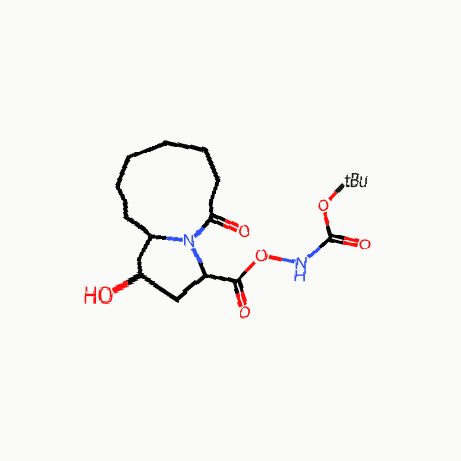 CC(C)(C)OC(=O)NOC(=O)C1CC(O)C2CCCCCCC(=O)N12